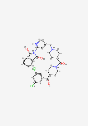 O=C(c1cc(Cl)cc(Cl)c1)C1CCN(C(=O)C2CCN(Cc3ccnc(N4C(=O)c5ccccc5C4=O)c3)CC2)CC1